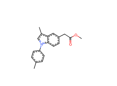 COC(=O)Cc1ccc2c(c1)c(C)cn2-c1ccc(C)cc1